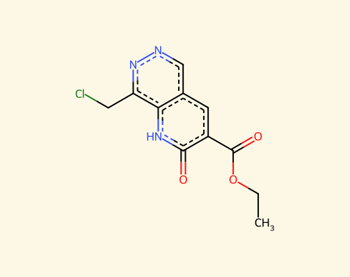 CCOC(=O)c1cc2cnnc(CCl)c2[nH]c1=O